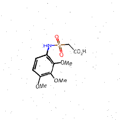 COc1ccc(NS(=O)(=O)CC(=O)O)c(OC)c1OC